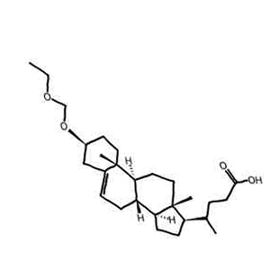 CCOCO[C@H]1CC[C@@]2(C)C(=CC[C@H]3[C@@H]4CC[C@H](C(C)CCC(=O)O)[C@@]4(C)CC[C@@H]32)C1